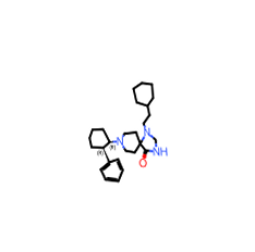 O=C1NCN(CCC2CCCCC2)C12CCN([C@@H]1CCCC[C@@H]1c1ccccc1)CC2